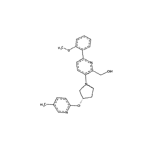 COc1ccccc1-c1ccc(N2CC[C@H](Oc3ccc(C)cn3)C2)c(CO)n1